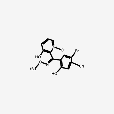 CC(C)(C)ON=C(c1cc(Br)c(C#N)cc1O)c1c(O)ccc[n+]1[O-]